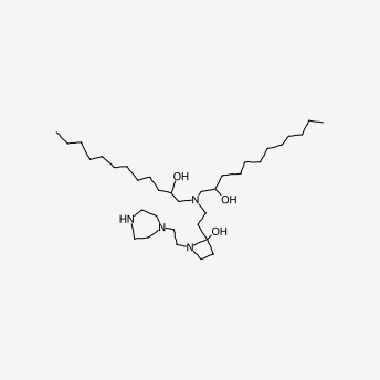 CCCCCCCCCCC(O)CN(CCC1(O)CCN1CCN1CCNCC1)CC(O)CCCCCCCCCC